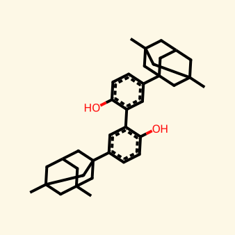 CC12CC3CC(C)(C1)CC(c1ccc(O)c(-c4cc(C56CC7CC(C)(CC(C)(C7)C5)C6)ccc4O)c1)(C3)C2